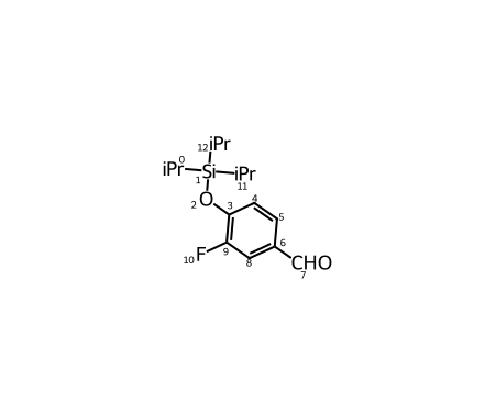 CC(C)[Si](Oc1ccc(C=O)cc1F)(C(C)C)C(C)C